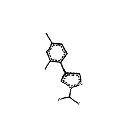 Cc1ccc(-c2cnn(C(F)F)c2)c(C)c1